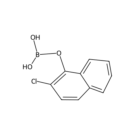 OB(O)Oc1c(Cl)ccc2ccccc12